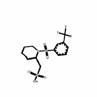 O=S(=O)(O)CC1CCCCN1S(=O)(=O)c1cccc(C(F)(F)F)c1